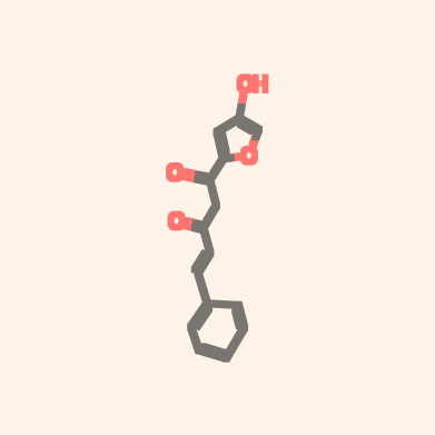 O=C(C=Cc1ccccc1)CC(=O)c1cc(O)co1